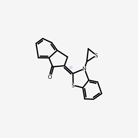 O=C1/C(=C2\Sc3ccccc3N2C2CS2)Cc2ccccc21